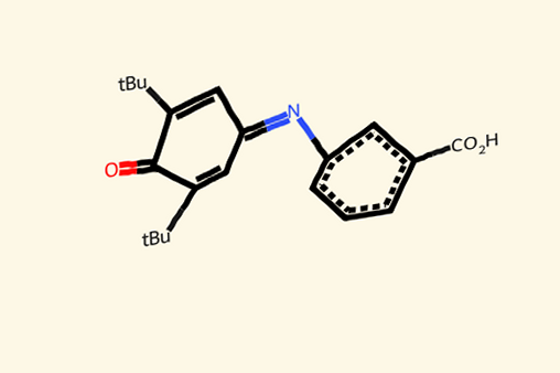 CC(C)(C)C1=CC(=Nc2cccc(C(=O)O)c2)C=C(C(C)(C)C)C1=O